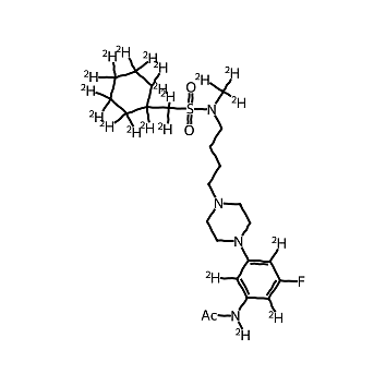 [2H]c1c(F)c([2H])c(N([2H])C(C)=O)c([2H])c1N1CCN(CCCCN(C([2H])([2H])[2H])S(=O)(=O)C([2H])([2H])C2([2H])C([2H])([2H])C([2H])([2H])C([2H])([2H])C([2H])([2H])C2([2H])[2H])CC1